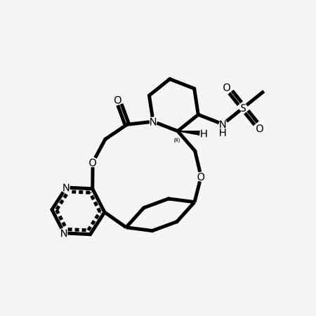 CS(=O)(=O)NC1CCCN2C(=O)COc3ncncc3C3CCC(CC3)OC[C@@H]12